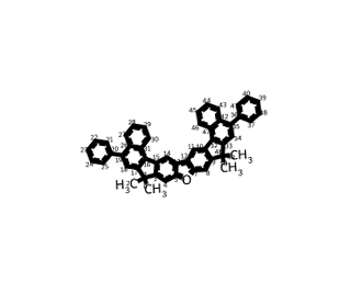 CC1(C)c2cc3oc4cc5c(cc4c3cc2-c2c1cc(-c1ccccc1)c1ccccc21)-c1c(cc(-c2ccccc2)c2ccccc12)C5(C)C